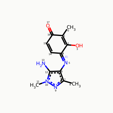 CC1=C(O)/C(=N/c2c(C)nn(C)c2N)C=CC1=O